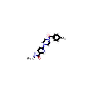 CCCC(C)NC(=O)c1ccc(N2CCN(C(=O)c3ccc(C(F)(F)F)cc3)CC2)nc1